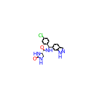 O=C1NC[C@@H](C(=O)NC(c2ccc(Cl)cc2)c2ccc3cn[nH]c3c2)N1